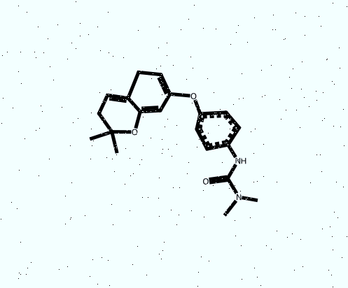 CN(C)C(=O)Nc1ccc(OC2=CCC3=CCC(C)(C)OC3=C2)cc1